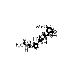 COc1ccc(S(C)(=O)=O)c(CC(=O)Nc2cc([C@H]3CC[C@@H](OC(=O)NC(C)C(F)(F)F)C3)[nH]n2)c1